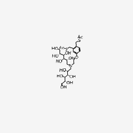 CC(=O)SCc1ccc(OCCN(C[C@@H](O)[C@@H](O)[C@H](O)[C@H](O)CO)C[C@@H](O)[C@@H](O)[C@H](O)[C@H](O)CO)cc1CSC(C)=O